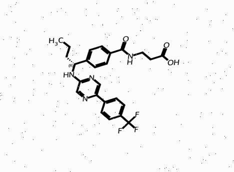 CCC[C@@H](Nc1cnc(-c2ccc(C(F)(F)F)cc2)cn1)c1ccc(C(=O)NCCC(=O)O)cc1